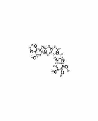 COc1cc2c(nc(CN3CCN(Cc4nc5c(OC)c(OC)c(OC)cc5n4C)CC3)n2C)c(OC)c1OC